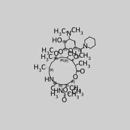 CC[C@H]1OC(=O)C(C)C(=O)[C@H](C)[C@@H](O[C@@H]2O[C@H]([C@H](C)N3CCCCC3)CC(N(C)C)[C@H]2O)[C@](C)(OC)C[C@@H](C)CN[C@H](C)[C@@H](NC=O)[C@]1(C)OC